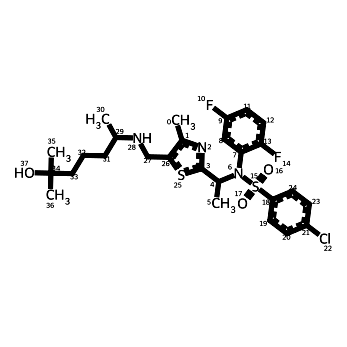 Cc1nc(C(C)N(c2cc(F)ccc2F)S(=O)(=O)c2ccc(Cl)cc2)sc1CNC(C)CCCC(C)(C)O